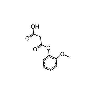 COc1ccccc1OC(=O)CC(=O)O